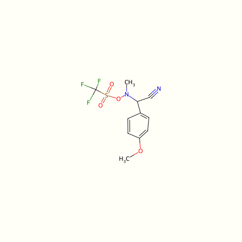 COc1ccc(C(C#N)N(C)OS(=O)(=O)C(F)(F)F)cc1